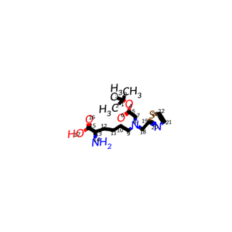 CC(C)(C)OC(=O)CN(CCCCC(N)C(=O)O)Cc1nccs1